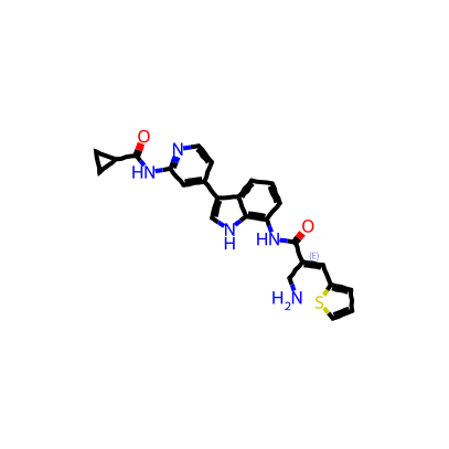 NC/C(=C\c1cccs1)C(=O)Nc1cccc2c(-c3ccnc(NC(=O)C4CC4)c3)c[nH]c12